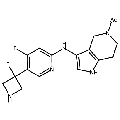 CC(=O)N1CCc2[nH]cc(Nc3cc(F)c(C4(F)CNC4)cn3)c2C1